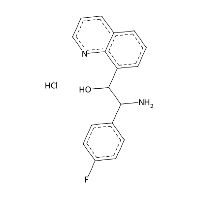 Cl.NC(c1ccc(F)cc1)C(O)c1cccc2cccnc12